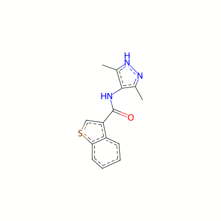 Cc1n[nH]c(C)c1NC(=O)c1csc2ccccc12